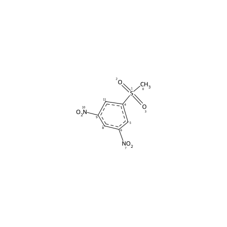 CS(=O)(=O)c1cc([N+](=O)[O-])[c]c([N+](=O)[O-])c1